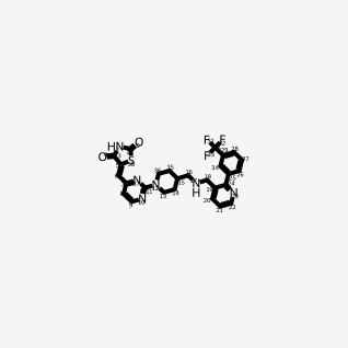 O=C1NC(=O)C(=Cc2ccnc(N3CCC(CNCc4cccnc4-c4cccc(C(F)(F)F)c4)CC3)n2)S1